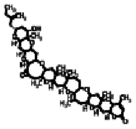 C=C(CC)C[C@@H]1C[C@H](O)[C@]2(C)OC3CC4OC5C[C@]6(C)O[C@]7(C)CCC8OC9C[C@]%10(C)OC%11C(C)=CC(=O)O[C@H]%11C[C@H]%10O[C@H]9C[C@@H](C)[C@H]8O[C@H]7C[C@H]6O[C@@]5(C)CC5OC5[C@H]4O[C@H]3C[C@H]2O1